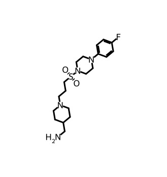 NCC1CCN(CCCS(=O)(=O)N2CCN(c3ccc(F)cc3)CC2)CC1